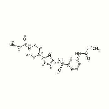 C=CC(=O)Nc1cccc(C(=O)Nn2ncc(N3CCN(C(=O)OC(C)(C)C)CC3)n2)c1